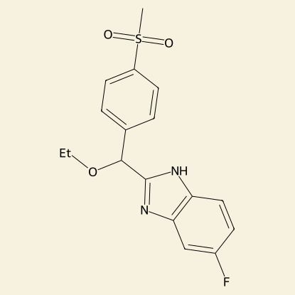 CCOC(c1ccc(S(C)(=O)=O)cc1)c1nc2cc(F)ccc2[nH]1